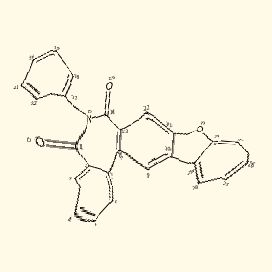 O=c1c2ccccc2c2cc3c(cc2c(=O)n1-c1ccccc1)oc1ccccc13